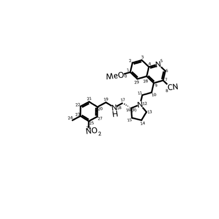 COc1ccc2ncc(C#N)c(CCN3CCC[C@@H]3CNCc3ccc(C)c([N+](=O)[O-])c3)c2c1